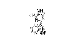 Nc1ncc(Sc2cccnc2C(F)(F)F)nc1Cl